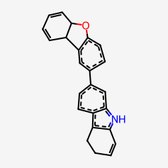 C1=CC2Oc3ccc(-c4ccc5c6c([nH]c5c4)C=CCC6)cc3C2C=C1